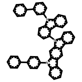 c1ccc(-c2ccc(-n3c4ccccc4c4cc5c6ccccc6n(-c6cccc7c6c6ccccc6n7-c6cccc(-c7ccccc7)c6)c5cc43)cc2)cc1